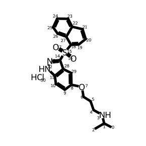 CC(C)NCCCOc1ccc2[nH]nc(S(=O)(=O)c3cccc4ccccc34)c2c1.Cl